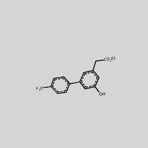 CCOC(=O)Cc1cc(O)cc(-c2ccc(C(F)(F)F)cc2)c1